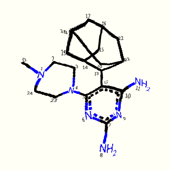 CN1CCN(c2nc(N)nc(N)c2C2C3CC4CC(C3)CC2C4)CC1